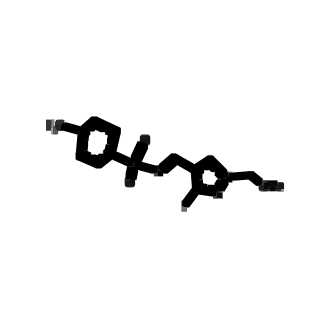 COCn1cc(/C=N/S(=O)(=O)c2ccc(C(F)(F)F)cc2)c(I)n1